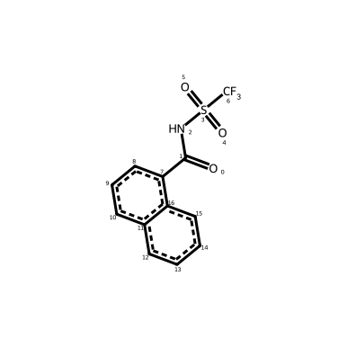 O=C(NS(=O)(=O)C(F)(F)F)c1cccc2ccccc12